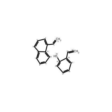 C=Cc1cccc2ccccc12.C=Cc1ccccc1S